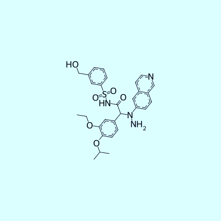 CCOc1cc(C(C(=O)NS(=O)(=O)c2cccc(CO)c2)N(N)c2ccc3cnccc3c2)ccc1OC(C)C